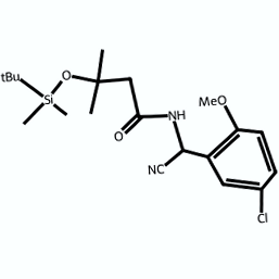 COc1ccc(Cl)cc1C(C#N)NC(=O)CC(C)(C)O[Si](C)(C)C(C)(C)C